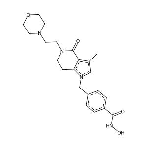 Cc1cn(Cc2ccc(C(=O)NO)cc2)c2c1C(=O)N(CCN1CCOCC1)CC2